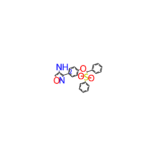 Nc1conc1-c1ccc(OC(c2ccccc2)S(=O)(=O)c2ccccc2)cc1